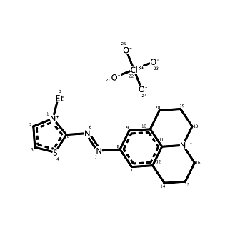 CC[n+]1ccsc1N=Nc1cc2c3c(c1)CCCN3CCC2.[O-][Cl+3]([O-])([O-])[O-]